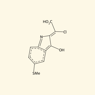 CSc1ccc2c(c1)=C(O)C(=C(Cl)C(=O)O)N=2